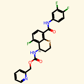 O=C(N[C@@H]1CCSc2c(C(=O)Nc3ccc(F)c(F)c3)ccc(F)c21)OCc1ccccn1